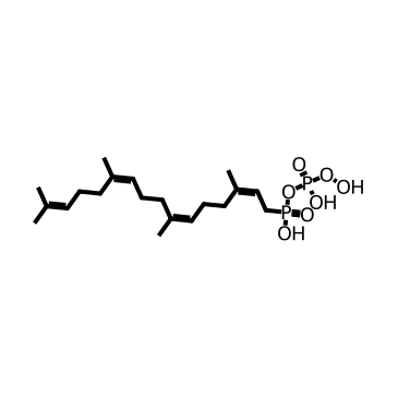 CC(C)=CCC/C(C)=C\CC/C(C)=C\CC/C(C)=C\CP(=O)(O)OP(=O)(O)OO